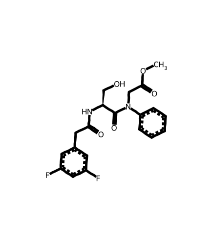 COC(=O)CN(C(=O)[C@H](CO)NC(=O)Cc1cc(F)cc(F)c1)c1ccccc1